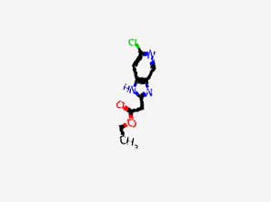 CCOC(=O)Cc1nc2cnc(Cl)cc2[nH]1